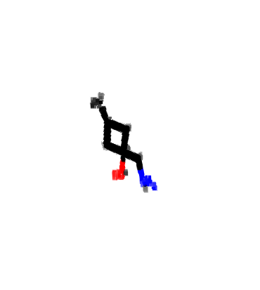 CC(C)[C@H]1C[C@](O)(CN)C1